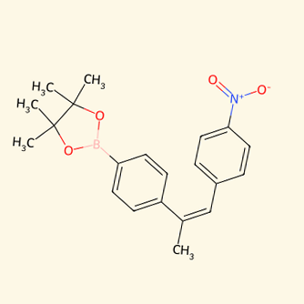 CC(=Cc1ccc([N+](=O)[O-])cc1)c1ccc(B2OC(C)(C)C(C)(C)O2)cc1